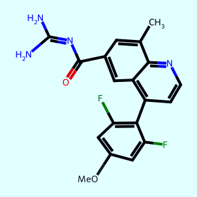 COc1cc(F)c(-c2ccnc3c(C)cc(C(=O)N=C(N)N)cc23)c(F)c1